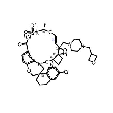 CO[C@@]1(CN2CCN(CC3COC3)CC2)/C=C/C[C@H](C)[C@@H](C)S(=O)(=O)NC(=O)c2ccc3c(c2)N(C[C@@H]2CC[C@H]21)C[C@@]1(CCCc2cc(Cl)ccc21)CO3